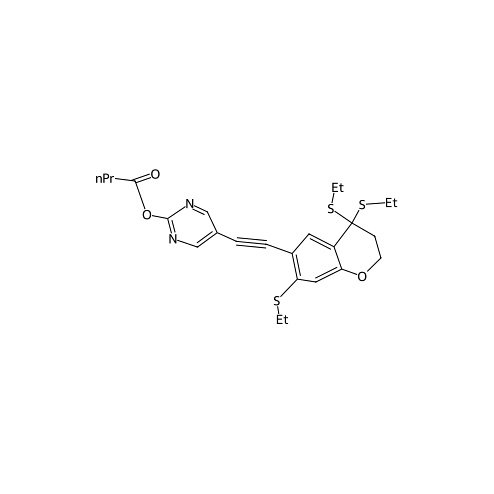 CCCC(=O)Oc1ncc(C#Cc2cc3c(cc2SCC)OCCC3(SCC)SCC)cn1